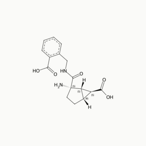 N[C@@]1(C(=O)NCc2ccccc2C(=O)O)CC[C@H]2[C@H](C(=O)O)[C@H]21